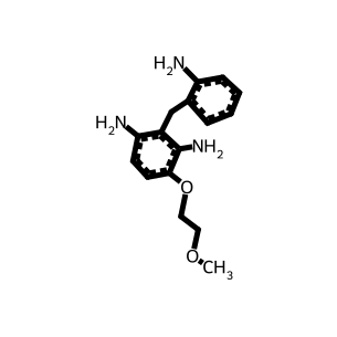 COCCOc1ccc(N)c(Cc2ccccc2N)c1N